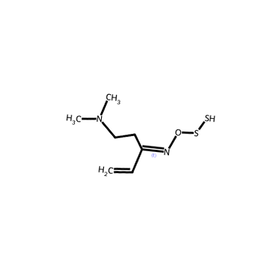 C=C/C(CCN(C)C)=N/OSS